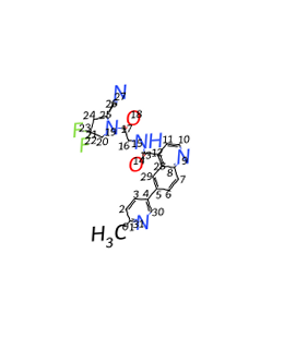 Cc1ccc(-c2ccc3nccc(C(=O)NCC(=O)N4CC(F)(F)C[C@H]4C#N)c3c2)cn1